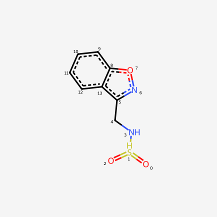 O=[SH](=O)NCc1noc2ccccc12